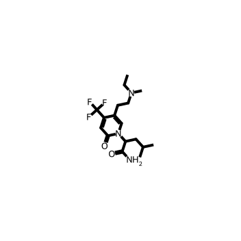 CCN(C)CCc1cn(C(CC(C)C)C(N)=O)c(=O)cc1C(F)(F)F